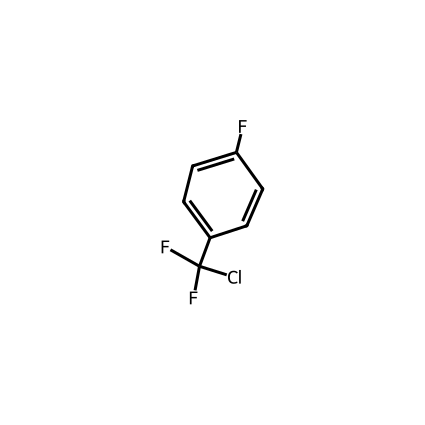 Fc1ccc(C(F)(F)Cl)cc1